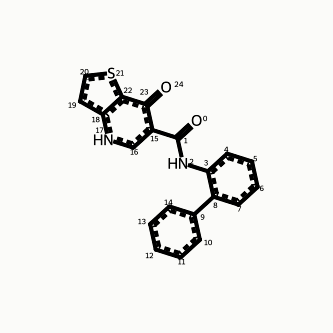 O=C(Nc1ccccc1-c1ccccc1)c1c[nH]c2ccsc2c1=O